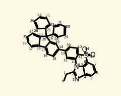 CCc1nc2cccc3c2n1-c1cc(-c2ccc4c(c2)C(c2ccccc2)(c2ccccc2)c2ccccc2-4)ccc1S3(=O)=O